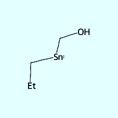 CC[CH2][Sn][CH2]O